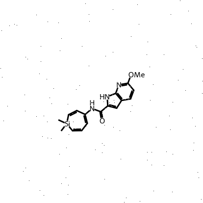 COc1ccc2cc(C(=O)NC3=CC=C[Si](C)(C)C=C3)[nH]c2n1